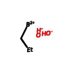 [B+2]CCC.[OH-].[OH-]